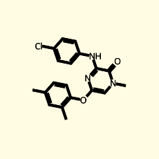 Cc1ccc(Oc2cn(C)c(=O)c(Nc3ccc(Cl)cc3)n2)c(C)c1